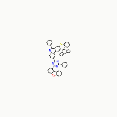 c1ccc(-c2nc(-c3ccc4nc(-c5ccccc5)c5cc6c(cc5c4c3)C3(c4ccccc4S6)c4ccccc4-c4ccccc43)nc(-c3cccc4oc5ccccc5c34)n2)cc1